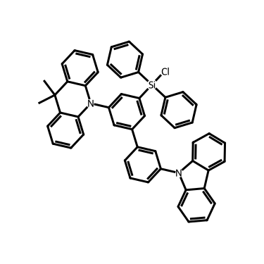 CC1(C)c2ccccc2N(c2cc(-c3cccc(-n4c5ccccc5c5ccccc54)c3)cc([Si](Cl)(c3ccccc3)c3ccccc3)c2)c2ccccc21